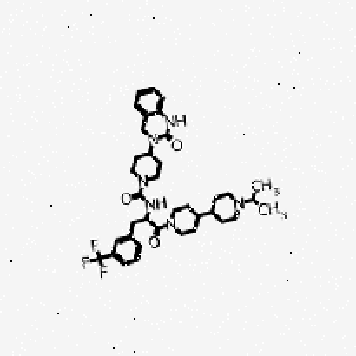 CC(C)N1CCC(C2CCN(C(=O)C(Cc3cccc(C(F)(F)F)c3)NC(=O)N3CCC(N4Cc5ccccc5NC4=O)CC3)CC2)CC1